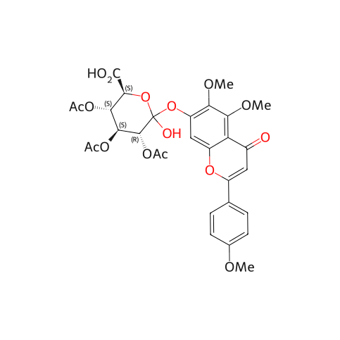 COc1ccc(-c2cc(=O)c3c(OC)c(OC)c(OC4(O)O[C@H](C(=O)O)[C@@H](OC(C)=O)[C@H](OC(C)=O)[C@H]4OC(C)=O)cc3o2)cc1